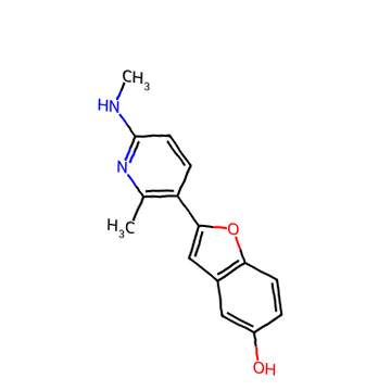 CNc1ccc(-c2cc3cc(O)ccc3o2)c(C)n1